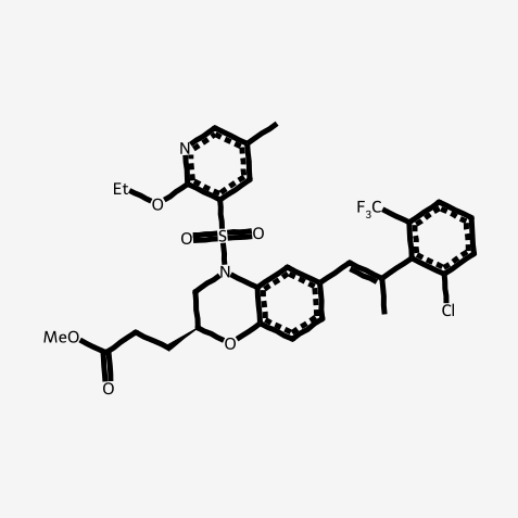 CCOc1ncc(C)cc1S(=O)(=O)N1C[C@H](CCC(=O)OC)Oc2ccc(/C=C(\C)c3c(Cl)cccc3C(F)(F)F)cc21